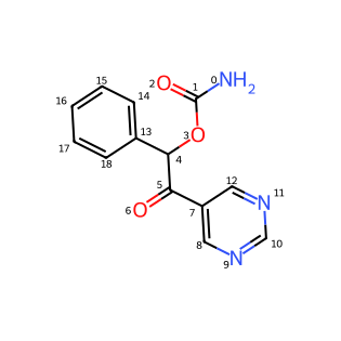 NC(=O)OC(C(=O)c1cncnc1)c1ccccc1